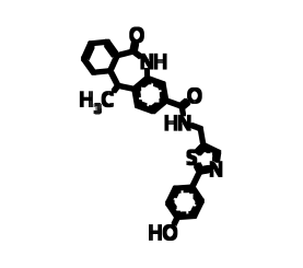 CC1c2ccc(C(=O)NCc3cnc(-c4ccc(O)cc4)s3)cc2NC(=O)C2=CC=CCC21